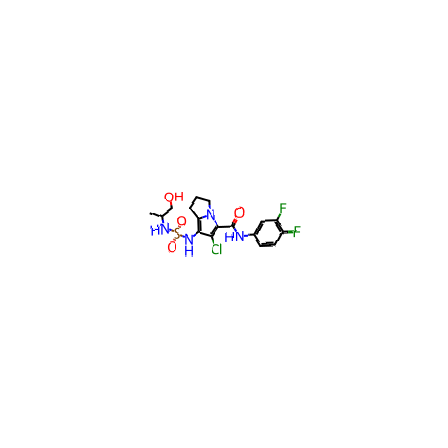 CC(CO)NS(=O)(=O)Nc1c(Cl)c(C(=O)Nc2ccc(F)c(F)c2)n2c1CCC2